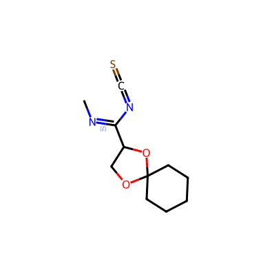 C/N=C(\N=C=S)C1COC2(CCCCC2)O1